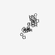 O=P(O)(CP1(=O)OCC[C@@H](c2cccc(Cl)c2)O1)OC[C@H]1OCC(O)(c2cnc3c(NC4CCCC4)nc(Cl)nn23)C1O